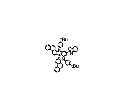 CC(C)(C)c1ccc(N2c3cc(-c4nc5ccccc5o4)cc4c3B(c3ccc5c(ccc6ccccc65)c32)c2ccc3c(ccc5ccccc53)c2N4c2ccc(C(C)(C)C)cc2)cc1